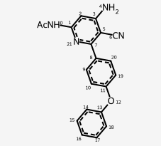 CC(=O)Nc1cc(N)c(C#N)c(-c2ccc(Oc3ccccc3)cc2)n1